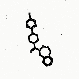 O=C(C1CCN(c2ncc(F)cn2)CC1)N1Cc2ccccc2CCO1